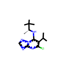 CC(C)c1c(Cl)nc2ncnn2c1N[C@H](C)C(C)(C)C